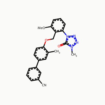 COc1cccc(-n2nnn(C)c2=O)c1COc1ccc(-c2cccc(C#N)c2)cc1C